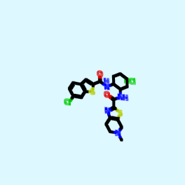 CN1CCc2nc(C(=O)NC3CCCCC3NC(=O)c3cc4ccc(Cl)cc4s3)sc2C1.Cl